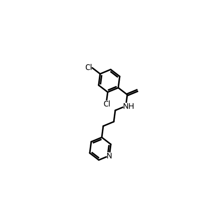 C=C(NCCCc1cccnc1)c1ccc(Cl)cc1Cl